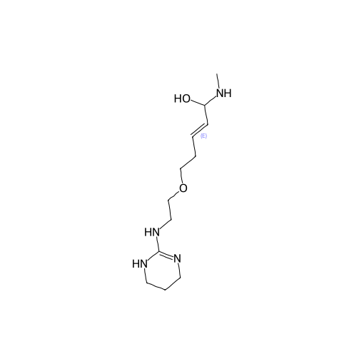 CNC(O)/C=C/CCOCCNC1=NCCCN1